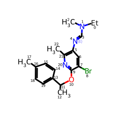 CCN(C)/C=N/c1cc(Br)c(OC(C)c2ccc(C)cc2)nc1C